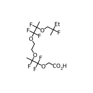 CCC(C)(F)COC(C)(F)C(F)(F)OCCOC(C)(F)C(F)(F)OCC(=O)O